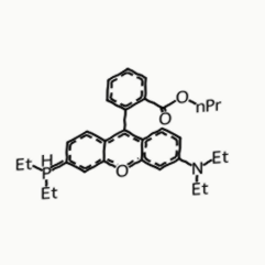 CCCOC(=O)c1ccccc1-c1c2ccc(=[PH](CC)CC)cc-2oc2cc(N(CC)CC)ccc12